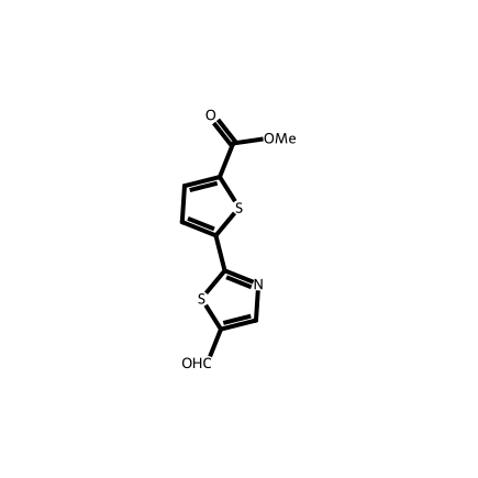 COC(=O)c1ccc(-c2ncc(C=O)s2)s1